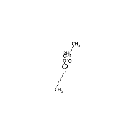 CCCCCCCCCc1ccc(OC(=O)C(CCCCCC)OP)cc1